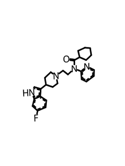 O=C(C1CCCCC1)N(CCN1CCC(c2c[nH]c3cc(F)ccc23)CC1)c1ccccn1